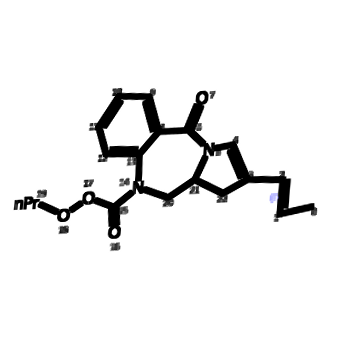 C/C=C/C1=CN2C(=O)c3ccccc3N(C(=O)OOCCC)CC2C1